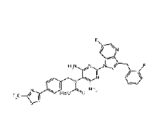 COC(=O)N(Cc1ccc(-c2csc(C(F)(F)F)n2)cc1)c1c(N)nc(-n2nc(Cc3ccccc3F)c3ncc(F)cc32)nc1N